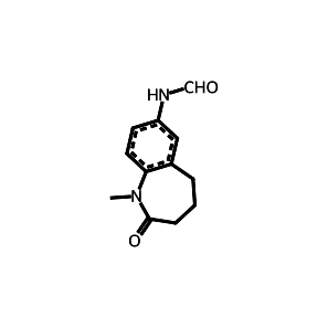 CN1C(=O)CCCc2cc(NC=O)ccc21